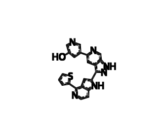 Oc1cncc(-c2cc3c(-c4cc5c(-c6cccs6)nccc5[nH]4)n[nH]c3cn2)c1